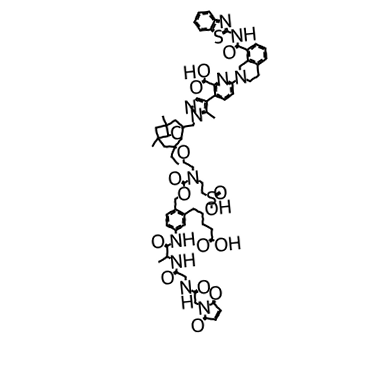 CCC1(OCCN(CCS(=O)O)C(=O)OCc2ccc(NC(=O)C(C)NC(=O)CNC(=O)CN3C(=O)C=CC3=O)cc2CCCCC(=O)O)CC2(Cn3ncc(-c4ccc(N5CCc6cccc(C(=O)Nc7nc8ccccc8s7)c6C5)nc4C(=O)O)c3C)CC3C(C)(C2)CC3(C)C1